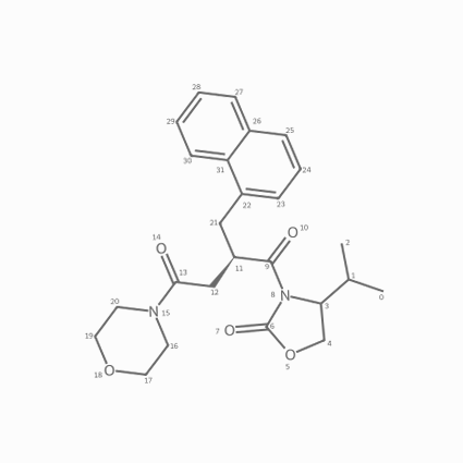 CC(C)C1COC(=O)N1C(=O)[C@@H](CC(=O)N1CCOCC1)Cc1cccc2ccccc12